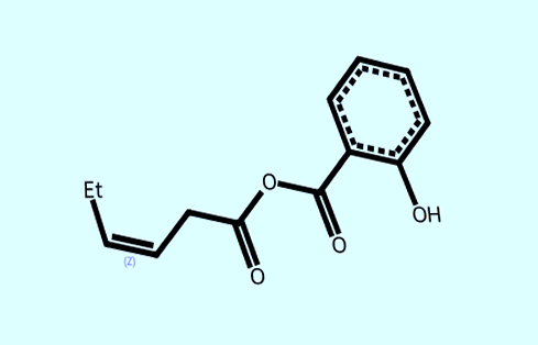 CC/C=C\CC(=O)OC(=O)c1ccccc1O